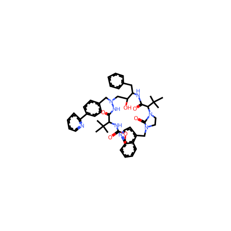 COC(=O)NC(C(=O)NN(Cc1ccc(-c2ccccn2)cc1)CC(O)C(Cc1ccccc1)NC(=O)C(N1CCN(Cc2ccnc3ccccc23)C1=O)C(C)(C)C)C(C)(C)C